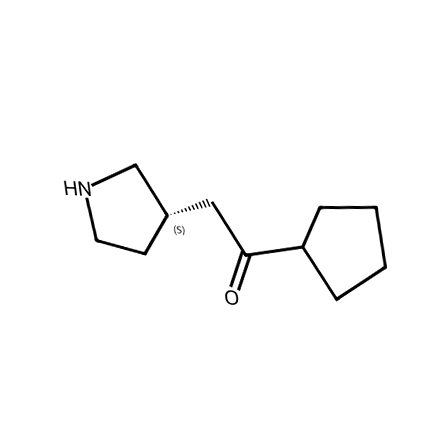 O=C(C[C@@H]1CCNC1)C1CCCC1